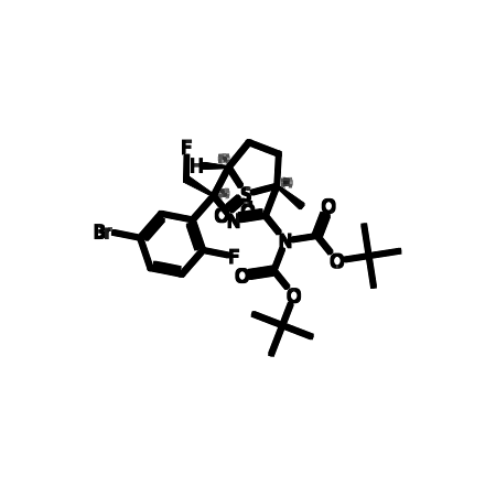 CC(C)(C)OC(=O)N(C(=O)OC(C)(C)C)C1=N[C@](CF)(c2cc(Br)ccc2F)[C@@H]2CC[C@@]1(C)S2(=O)=O